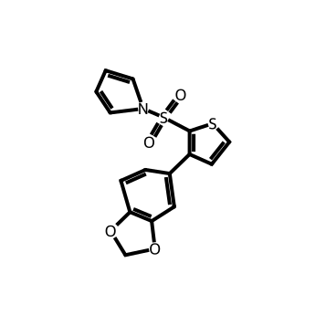 O=S(=O)(c1sccc1-c1ccc2c(c1)OCO2)n1cccc1